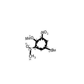 COc1c([N+](=O)[O-])cc(C(C)(C)C)cc1[S+](C)[O-]